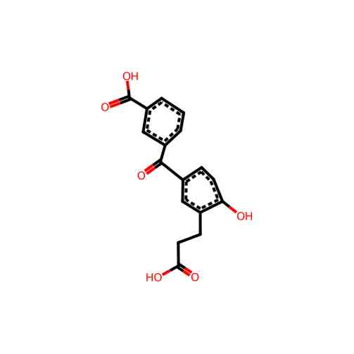 O=C(O)CCc1cc(C(=O)c2cccc(C(=O)O)c2)ccc1O